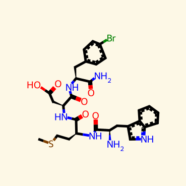 CSCC[C@H](NC(=O)[C@H](N)Cc1c[nH]c2ccccc12)C(=O)N[C@@H](CC(=O)O)C(=O)N[C@@H](Cc1ccc(Br)cc1)C(N)=O